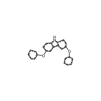 c1ccc(Oc2ccc3[nH]c4ccc(Oc5ccccc5)cc4c3c2)cc1